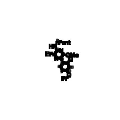 CCCCCNc1nc(OC)c(-c2ccc(OC(C)C)cc2Cl)nc1CC